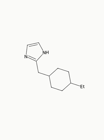 CCC1CCC(Cc2ncc[nH]2)CC1